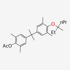 CCCC(C)(CC)Oc1c(C)cc(C(C)(C)c2cc(C)c(OC(C)=O)c(C)c2)cc1C